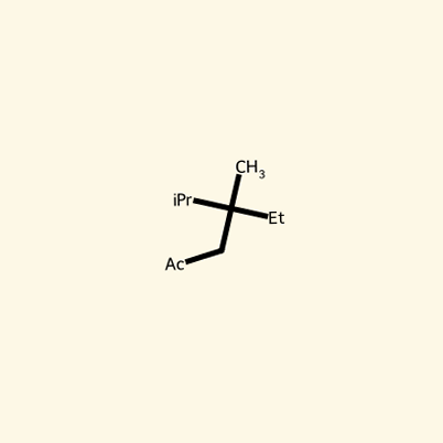 CCC(C)(CC(C)=O)C(C)C